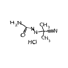 CC(C)(C#N)N=NC(N)=O.Cl